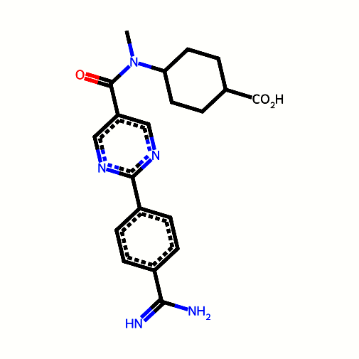 CN(C(=O)c1cnc(-c2ccc(C(=N)N)cc2)nc1)C1CCC(C(=O)O)CC1